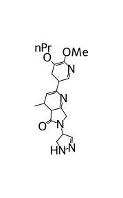 CCCOC1=C(OC)N=CC(C2=CC(C)C3C(=O)N(C4C=NNC4)CC3=N2)C1